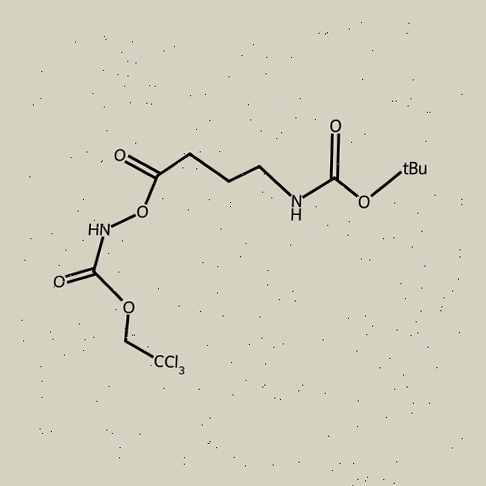 CC(C)(C)OC(=O)NCCCC(=O)ONC(=O)OCC(Cl)(Cl)Cl